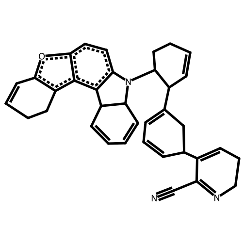 N#CC1=NCCC=C1C1C=CC=C(C2C=CCCC2N2c3ccc4oc5c(c4c3C3C=CC=CC32)CCC=C5)C1